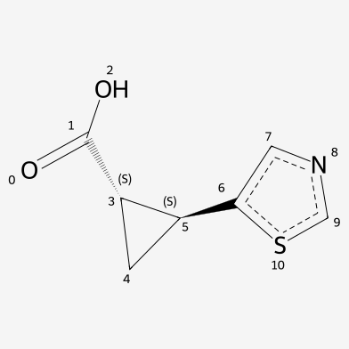 O=C(O)[C@H]1C[C@@H]1c1cncs1